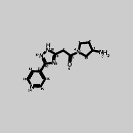 NC1CCN(C(=O)Cc2nc(-c3ccncc3)n[nH]2)C1